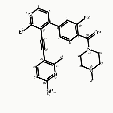 CCc1nccc(-c2ccc(C(=O)N3CCN(C)CC3)c(F)c2)c1C#Cc1ccc(N)nc1C